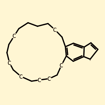 [CH]1C=Cc2cc3c(cc21)CCCCCCCCCCCCCCCCC3